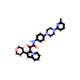 Cc1cccc(N2CCN(c3ccc(NC(=O)C(=O)c4c(C5CCOCC5)cc5ccccn45)cc3)CC2)n1